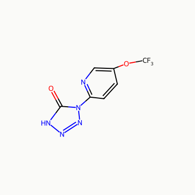 O=c1[nH]nnn1-c1ccc(OC(F)(F)F)cn1